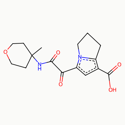 CC1(NC(=O)C(=O)c2cc(C(=O)O)c3n2CCC3)CCOCC1